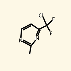 Cc1nc[c]c(C(F)(F)Cl)n1